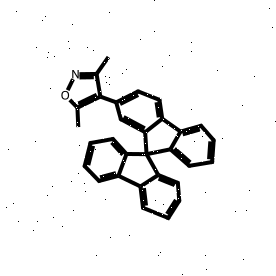 Cc1noc(C)c1-c1ccc2c(c1)C1(c3ccccc3-c3ccccc31)c1ccccc1-2